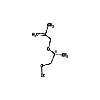 C=C(C)CO[C@H](C)COCC